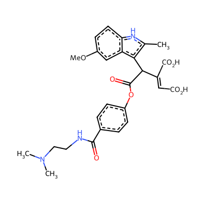 COc1ccc2[nH]c(C)c(C(C(=O)Oc3ccc(C(=O)NCCN(C)C)cc3)/C(=C/C(=O)O)C(=O)O)c2c1